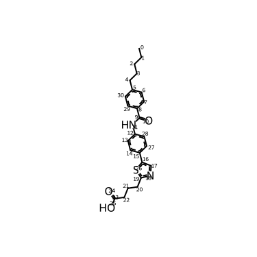 CCCCCc1ccc(C(=O)Nc2ccc(-c3cnc(CCCC(=O)O)s3)cc2)cc1